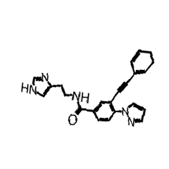 O=C(NCCc1c[nH]cn1)c1ccc(-n2cccn2)c(C#CC2=CCCC=C2)c1